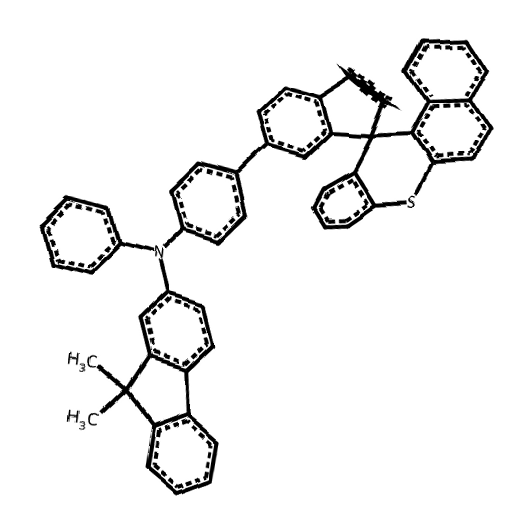 CC1(C)c2ccccc2-c2ccc(N(c3ccccc3)c3ccc(-c4ccc5c(c4)C4(c6ccccc6Sc6ccc7ccccc7c64)c4ccccc4-5)cc3)cc21